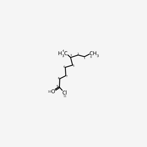 CCCC(C)CCCCC(=O)Cl